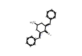 CC1C/C(=C\c2ccccc2)C(=O)/C(=C/c2ccccc2)C1